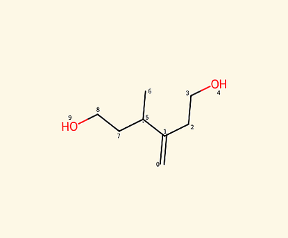 C=C(CCO)[C](C)CCO